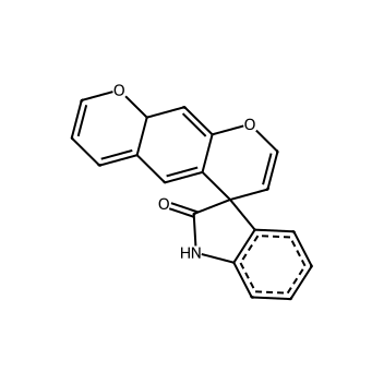 O=C1Nc2ccccc2C12C=COC1=CC3OC=CC=C3C=C12